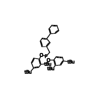 CC(C)(C)c1ccc(OP(Cc2cccc(-c3ccccc3)c2)Oc2ccc(C(C)(C)C)cc2C(C)(C)C)c(C(C)(C)C)c1